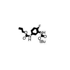 C=CCOC(=O)Nc1ccc(F)c(NC(=O)OC(C)(C)C)c1